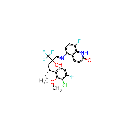 CC[C@H](C[C@@](O)(C=Nc1ccc(F)c2[nH]c(=O)ccc12)C(F)(F)F)c1ccc(F)c(Cl)c1OC